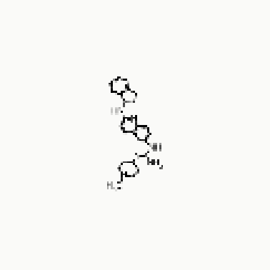 CN1CCC(N=C(N)Nc2ccc3nc(N[C@@H]4CCc5ccccc54)ccc3c2)CC1